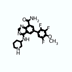 COc1c(F)cc(-c2cc(C(N)=O)c3ncnc(NC4CCCNC4)c3c2)c(F)c1F